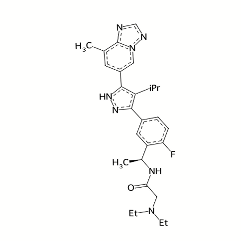 CCN(CC)CC(=O)N[C@@H](C)c1cc(-c2n[nH]c(-c3cc(C)c4ncnn4c3)c2C(C)C)ccc1F